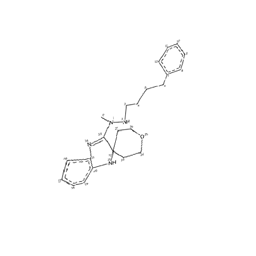 CN(NCCCCc1ccccc1)C1=Nc2ccccc2NC12CCOCC2